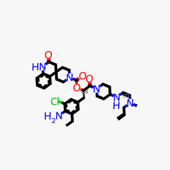 C=CCN(C)/C=C\NC1CCN(C(=O)[C@@H](Cc2cc(Cl)c(N)c(CC)c2)OC(=O)N2CCC3(CC2)CC(=O)Nc2ccccc23)CC1